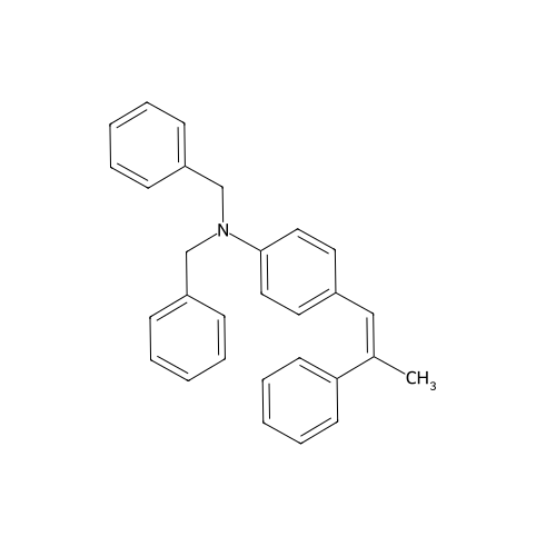 CC(=Cc1ccc(N(Cc2ccccc2)Cc2ccccc2)cc1)c1ccccc1